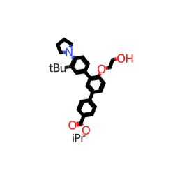 CC(C)OC(=O)c1ccc(-c2ccc(OCCO)c(-c3ccc(N4CCCC4)c(C(C)(C)C)c3)c2)cc1